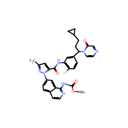 CC(C)(C)OC(=O)Nc1nccc2ccc(-n3nc(C(F)(F)F)cc3C(=O)Nc3cc(C(CCC4CC4)n4ccncc4=O)ccc3F)cc12